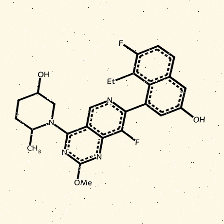 CCc1c(F)ccc2cc(O)cc(-c3ncc4c(N5CC(O)CCC5C)nc(OC)nc4c3F)c12